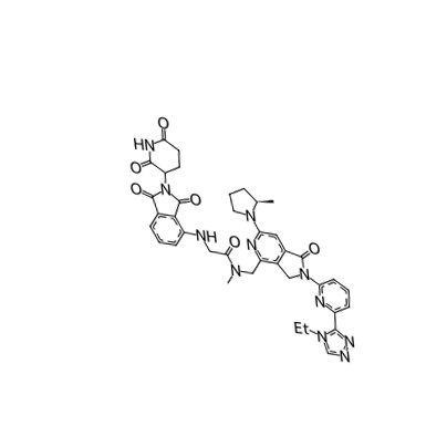 CCn1cnnc1-c1cccc(N2Cc3c(cc(N4CCC[C@H]4C)nc3CN(C)C(=O)CNc3cccc4c3C(=O)N(C3CCC(=O)NC3=O)C4=O)C2=O)n1